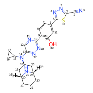 N#Cc1nnc(-c2ccc(-c3ncc(N(C4CC4)[C@@H]4C[C@H]5CCC[C@@H](C4)N5)nn3)c(O)c2)s1